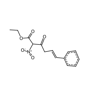 CCOC(=O)C(C(=O)CC=Cc1ccccc1)[N+](=O)[O-]